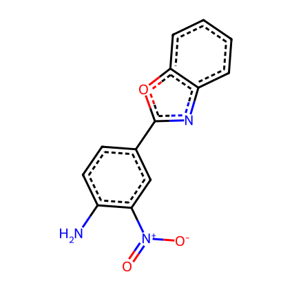 Nc1ccc(-c2nc3ccccc3o2)cc1[N+](=O)[O-]